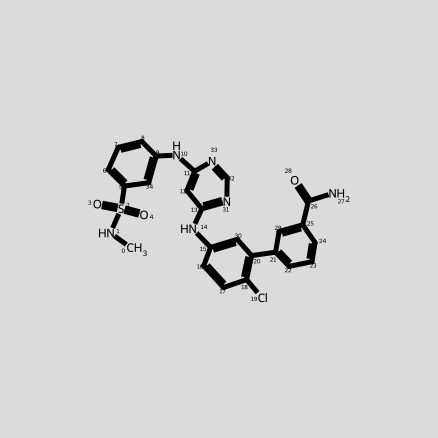 CNS(=O)(=O)c1cccc(Nc2cc(Nc3ccc(Cl)c(-c4cccc(C(N)=O)c4)c3)ncn2)c1